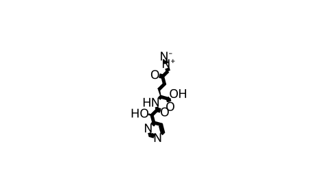 [N-]=[N+]=CC(=O)CC[C@H](NC(=O)[C@H](O)c1ccncn1)C(=O)O